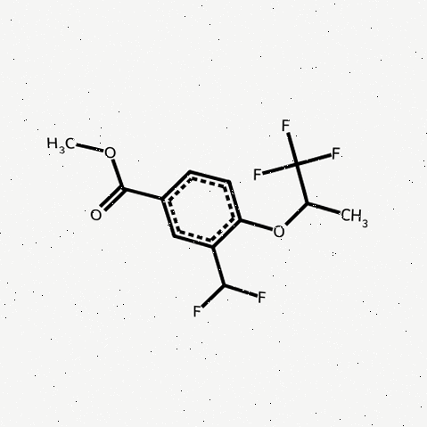 COC(=O)c1ccc(OC(C)C(F)(F)F)c(C(F)F)c1